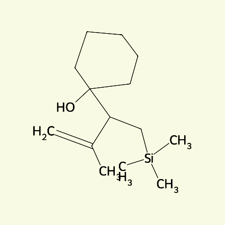 C=C(C)C(C[Si](C)(C)C)C1(O)CCCCC1